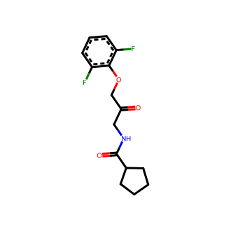 O=C(CNC(=O)C1CCCC1)COc1c(F)cccc1F